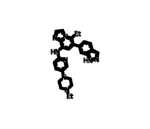 CCc1c(-c2ccc3cn[nH]c3c2)cc(Nc2ccc(N3CCN(CC)CC3)cn2)c2nccn12